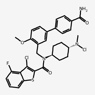 COc1ccc(-c2ccc(C(N)=O)cc2)cc1CN(C(=O)c1sc2cccc(F)c2c1Cl)[C@H]1CC[C@H](N(C)Cl)CC1